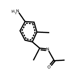 CC(=O)N=C(C)c1ccc(N)cc1C